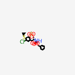 CS(=O)(=O)OC[C@@H](NC(=O)OCc1ccccc1)[C@H](O)c1ccc(SC2CC2)c(Cl)c1